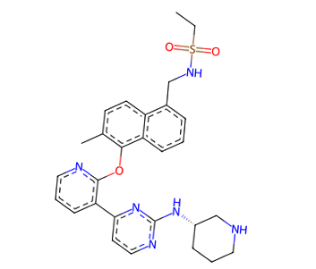 CCS(=O)(=O)NCc1cccc2c(Oc3ncccc3-c3ccnc(N[C@H]4CCCNC4)n3)c(C)ccc12